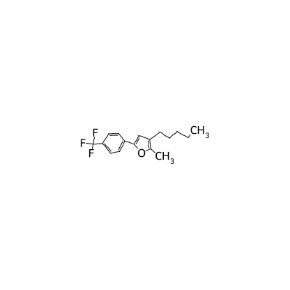 CCCCCc1cc(-c2ccc(C(F)(F)F)cc2)oc1C